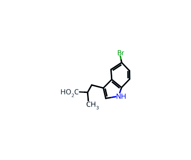 CC(Cc1c[nH]c2ccc(Br)cc12)C(=O)O